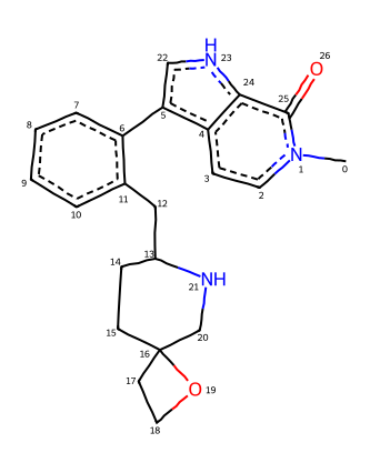 Cn1ccc2c(-c3ccccc3CC3CCC4(CCO4)CN3)c[nH]c2c1=O